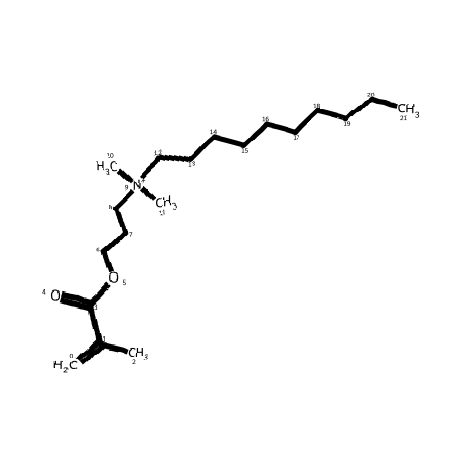 C=C(C)C(=O)OCCC[N+](C)(C)CCCCCCCCCC